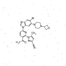 CC(=O)c1ccc(-n2cnc3cc(Br)c(N4CCN(C5COC5)CC4)cc32)nc1-n1nc(C#N)cc1C